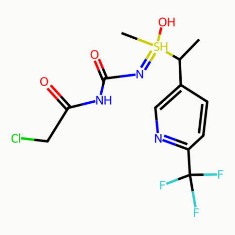 CC(c1ccc(C(F)(F)F)nc1)[SH](C)(O)=NC(=O)NC(=O)CCl